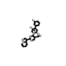 N#Cc1cnc(-c2cnn3ccccc23)nc1N1C[C@@H]2CC[C@H]1CN2c1cccc(F)c1